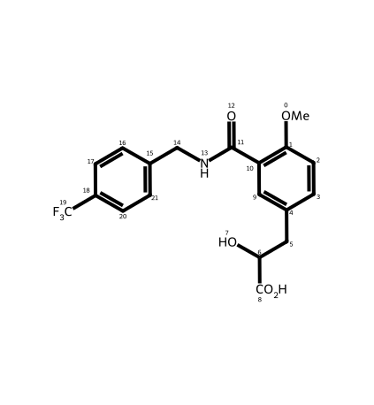 COc1ccc(CC(O)C(=O)O)cc1C(=O)NCc1ccc(C(F)(F)F)cc1